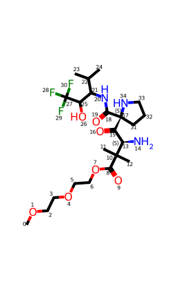 COCCOCCOC(=O)C(C)(C)[C@H](N)C(=O)[C@]1(C(=O)NC(C(C)C)C(O)C(F)(F)F)CCCN1